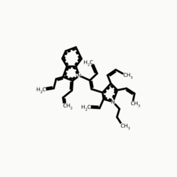 C=C/C=c1\c(=C/C=C)n(/C(C=C)=C/c2c(/C=C\C)c(/C=C\C)n(CCC)c2C=C)c2ccccc12